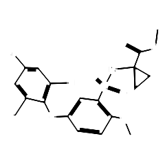 COC(=O)C1(NS(=O)(=O)c2cc(Oc3c(Cl)cc(Br)cc3Cl)ccc2OC)CC1